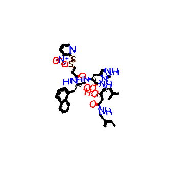 CCC(C)CNC(=O)C[C@H](O)[C@H](CC(C)C)NC(=O)[C@H](Cc1c[nH]cn1)NC(=O)[C@H](Cc1cccc2ccccc12)NC(=O)CCSSc1ncccc1[N+](=O)[O-]